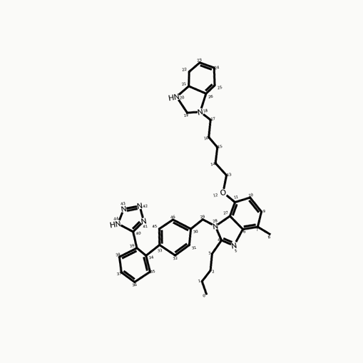 CCCCc1nc2c(C)ccc(OCCCCCN3CNC4CC=CC=C43)c2n1Cc1ccc(-c2ccccc2-c2nnn[nH]2)cc1